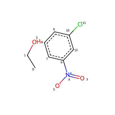 CCO.O=[N+]([O-])c1cccc(Cl)c1